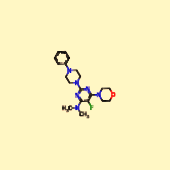 CN(C)c1nc(N2CCN(c3ccccc3)CC2)nc(N2CCOCC2)c1F